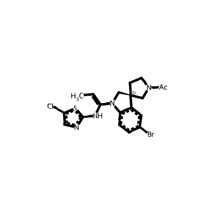 CC=C(Nc1ncc(Cl)s1)N1C[C@]2(CCN(C(C)=O)C2)c2cc(Br)ccc21